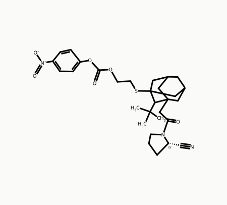 CC(C)(C)C1C2(CC(=O)N3CCC[C@H]3C#N)CC3CC(C2)CC1(SCCOC(=O)Oc1ccc([N+](=O)[O-])cc1)C3